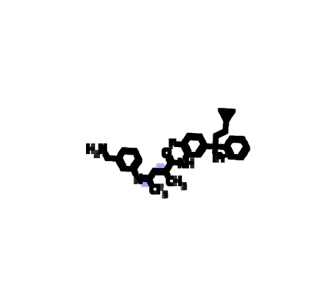 C/C(=C\C(=N/c1cccc(CN)c1)C(F)(F)F)C(=O)Nc1cc(C(CCC2CC2)(c2ccccc2)C(C)C)ccc1F